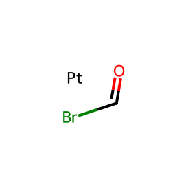 O=CBr.[Pt]